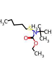 CCCCCSN(C(=O)OCC)C(C)(C)C